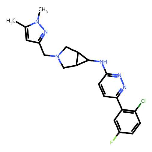 Cc1cc(CN2CC3C(C2)C3Nc2ccc(-c3cc(F)ccc3Cl)nn2)nn1C